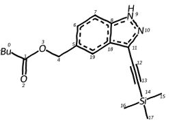 CC(C)(C)C(=O)OCc1ccc2[nH]nc(C#C[Si](C)(C)C)c2c1